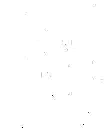 CCOC(=O)c1[nH]c2ccc(F)cc2c1N